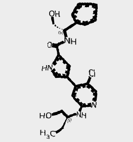 CC[C@@H](CO)Nc1cc(-c2c[nH]c(C(=O)N[C@H](CO)c3ccccc3)c2)c(Cl)cn1